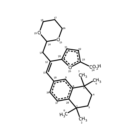 CC1(C)CCC(C)(C)c2cc(C=C(CC3OCCCO3)c3ccc(C(=O)O)o3)ccc21